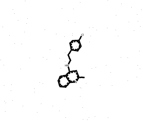 Cc1cc(NCCc2ccc(Cl)cc2)c2ccccc2n1